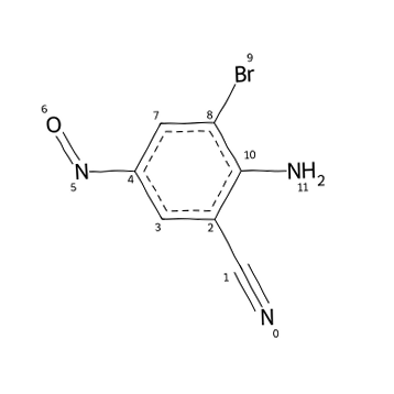 N#Cc1cc(N=O)cc(Br)c1N